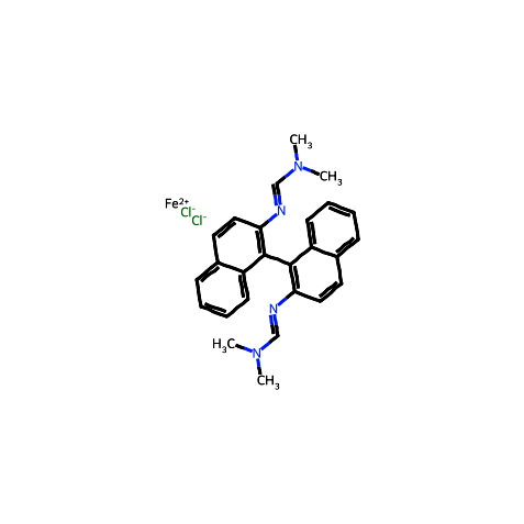 CN(C)C=Nc1ccc2ccccc2c1-c1c(N=CN(C)C)ccc2ccccc12.[Cl-].[Cl-].[Fe+2]